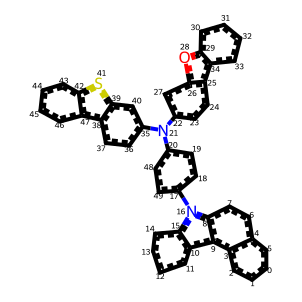 c1ccc2c(c1)ccc1c2c2ccccc2n1-c1ccc(N(c2ccc3c(c2)oc2ccccc23)c2ccc3c(c2)sc2ccccc23)cc1